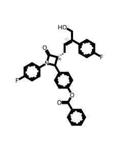 O=C(Oc1ccc(C2[C@@H](C/C=C(/CO)c3ccc(F)cc3)C(=O)N2c2ccc(F)cc2)cc1)c1ccccc1